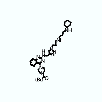 CC(C)(C)C(=O)N1CCN(c2nc(NCc3cn(CCCNCCCNC4CCCCC4)nn3)nc3ccccc23)CC1